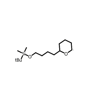 CC(C)(C)[Si](C)(C)OCCCCC1CCC[CH]O1